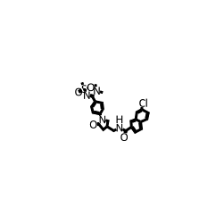 CN(C)C(=NS(C)(=O)=O)c1ccc(N2CC(CNC(=O)c3ccc4ccc(Cl)cc4c3)CC2=O)cc1